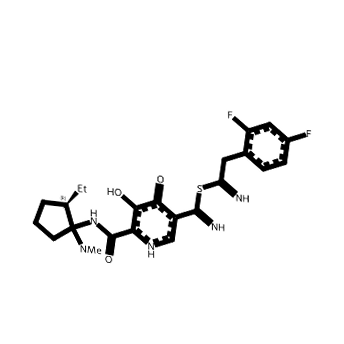 CC[C@@H]1CCCC1(NC)NC(=O)c1[nH]cc(C(=N)SC(=N)Cc2ccc(F)cc2F)c(=O)c1O